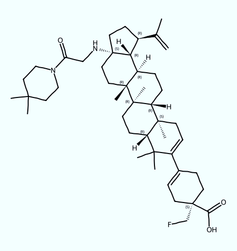 C=C(C)[C@@H]1CC[C@]2(NCC(=O)N3CCC(C)(C)CC3)CC[C@]3(C)[C@H](CC[C@@H]4[C@@]5(C)CC=C(C6=CC[C@](CF)(C(=O)O)CC6)C(C)(C)[C@@H]5CC[C@]43C)[C@@H]12